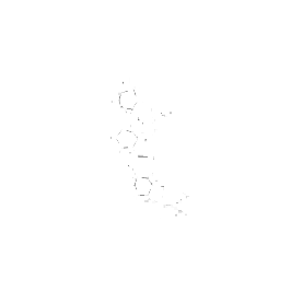 Cc1ccc(N2c3cccc(C(=O)Nc4cc(F)c(OC(C)(C)C(=O)O)c(F)c4)c3OC[C@@H]2CO)nc1